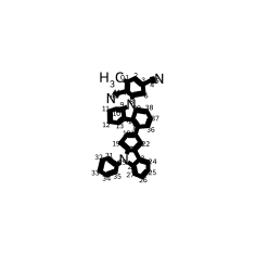 Cc1cc(C#N)cc(-n2c3ccccc3c3c(-c4ccc5c(c4)c4ccccc4n5-c4ccccc4)cccc32)c1C#N